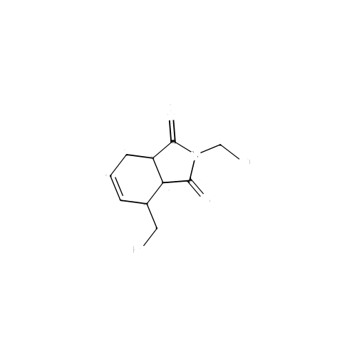 CC(C)CC1C=CCC2C(=O)N(CC(C)C)C(=O)C12